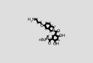 CCCCN(C)C(=O)c1cc(C(=O)N2Cc3ccc(OCCCN)cc3C2)c(O)cc1O